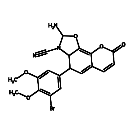 COc1cc(C2C=c3ccc(=O)oc3=C3OC(N)N(C#N)C32)cc(Br)c1OC